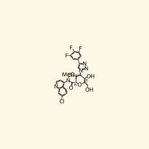 CO[C@@H]1[C@@H](n2cc(-c3cc(F)c(F)c(F)c3)nn2)[C@@H](O)[C@@H](CO)O[C@H]1C(=O)N(C)c1ccnc2cc(Cl)ccc12